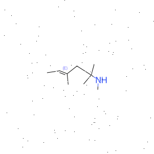 C/C=C(\C)CC(C)(C)NC